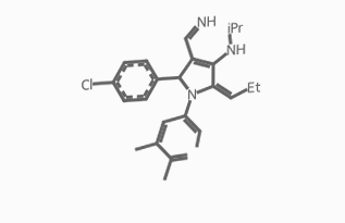 C=C(C)/C(C)=C\C(=C/C)N1/C(=C/CC)C(NC(C)C)=C(C=N)C1c1ccc(Cl)cc1